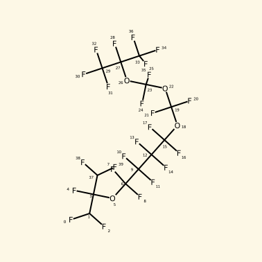 FC(F)C(F)(OC(F)(F)C(F)(F)C(F)(F)C(F)(F)OC(F)(F)OC(F)(F)OC(F)(C(F)(F)F)C(F)(F)F)C(F)F